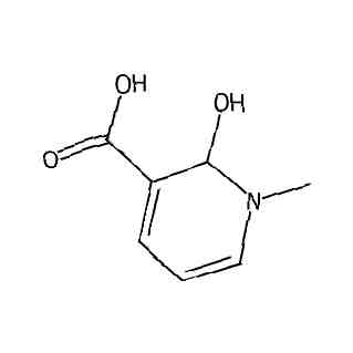 CN1C=CC=C(C(=O)O)C1O